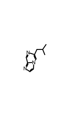 CC(C)Cc1cn2ccnc2cn1